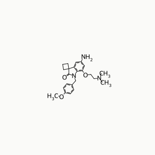 COc1ccc(CN2C(=O)C3(CCC3)c3cc(N)cc(OCCN(C)C)c32)cc1